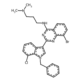 CN(C)CCCNc1nc(-c2cn(Cc3ccccc3)c3c(Cl)cccc23)nc2c(Br)cccc12